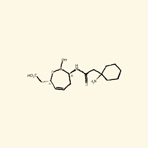 NC1(CC(=O)N[C@H]2CC=C[C@H](CC(=O)O)OB2O)CCCCC1